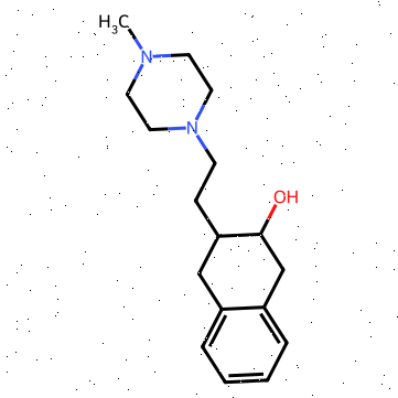 CN1CCN(CCC2Cc3ccccc3CC2O)CC1